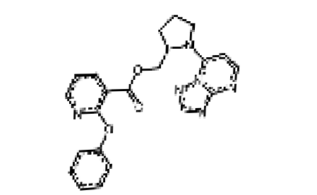 O=C(OCC1CCCN1c1ccnc2ncnn12)c1cccnc1Oc1ccccc1